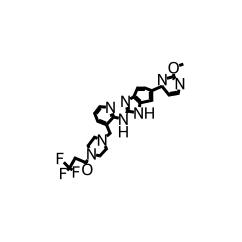 COc1nccc(-c2ccc3nc(Nc4ncccc4CN4CCN(C(=O)CC(F)(F)F)CC4)[nH]c3c2)n1